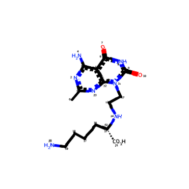 Cc1nc(N)c2c(=O)[nH]c(=O)n(CCN[C@@H](CCCCN)C(=O)O)c2n1